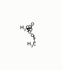 CCCCCSc1ccc(-c2ccc(S[C@H](C)C(=O)OCc3ccccc3)cc2)cc1